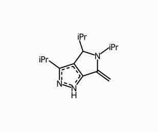 C=C1c2[nH]nc(C(C)C)c2C(C(C)C)N1C(C)C